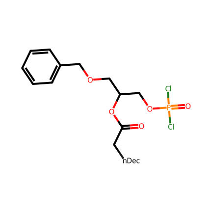 CCCCCCCCCCCC(=O)OC(COCc1ccccc1)COP(=O)(Cl)Cl